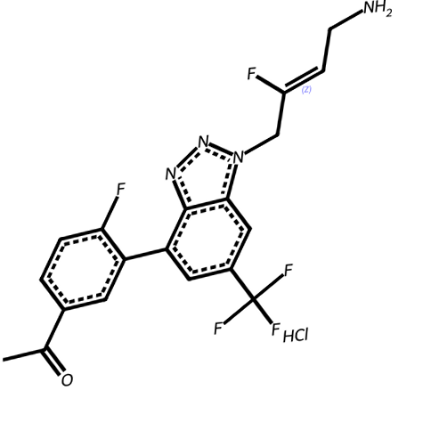 CC(=O)c1ccc(F)c(-c2cc(C(F)(F)F)cc3c2nnn3C/C(F)=C/CN)c1.Cl